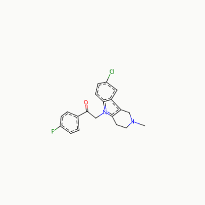 CN1CCc2c(c3cc(Cl)ccc3n2CC(=O)c2ccc(F)cc2)C1